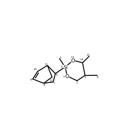 CC1CO[Si](C)(C2CC3C=CC2C3)OC1C